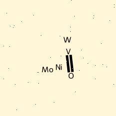 [Mo].[Ni].[O]=[V].[W]